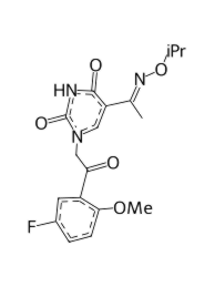 COc1ccc(F)cc1C(=O)Cn1cc(/C(C)=N/OC(C)C)c(=O)[nH]c1=O